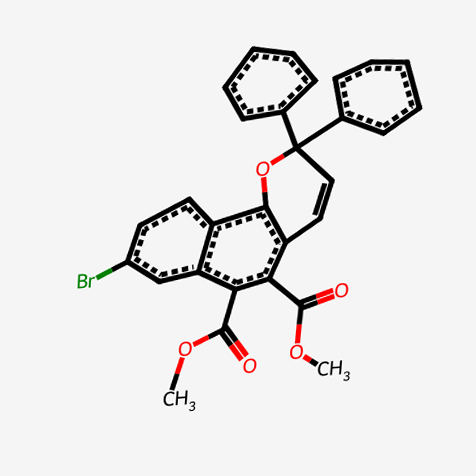 COC(=O)c1c2c(c3ccc(Br)cc3c1C(=O)OC)OC(c1ccccc1)(c1ccccc1)C=C2